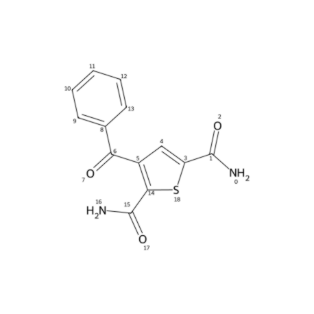 NC(=O)c1cc(C(=O)c2ccccc2)c(C(N)=O)s1